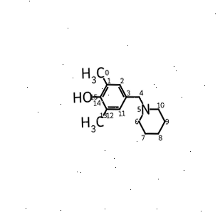 Cc1cc(CN2CCCCC2)cc(C)c1O